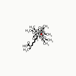 CCO[Si](OCC)(OCC)O[Si](CCCCCCN(CC)C(=O)O)(O[Si](OCC)(OCC)OCC)O[Si](OCC)(OCC)OCC